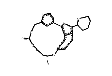 C[C@@H]1CCNC(=O)OCc2cc(ccn2)-c2nn(C3CCCCO3)c3ccc(cc23)O1